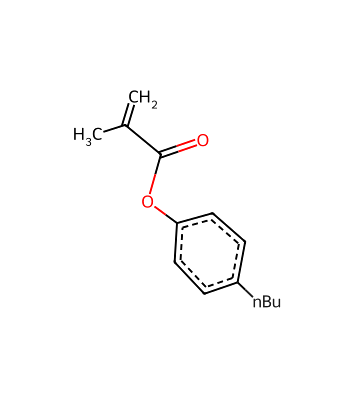 C=C(C)C(=O)Oc1ccc(CCCC)cc1